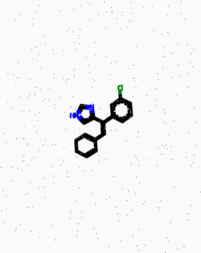 Clc1cccc(/C(=C/C2=CCCC=C2)c2c[nH]cn2)c1